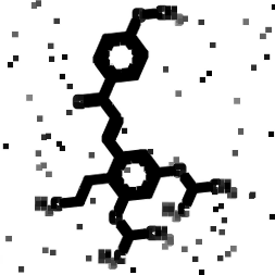 CCCc1c(C=CC(=O)c2ccc(OC)cc2)cc(OC(C)C)cc1OC(C)C